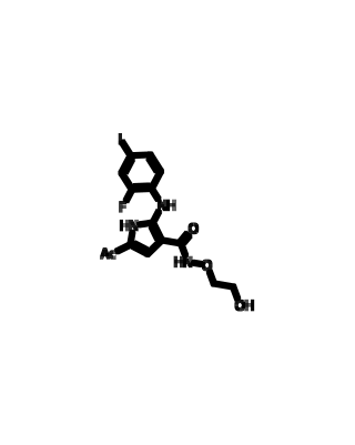 CC(=O)c1cc(C(=O)NOCCO)c(Nc2ccc(I)cc2F)[nH]1